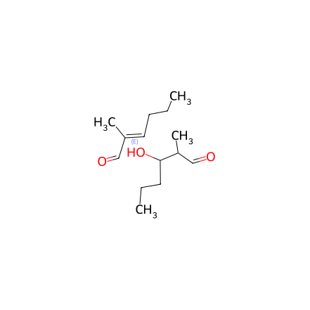 CCC/C=C(\C)C=O.CCCC(O)C(C)C=O